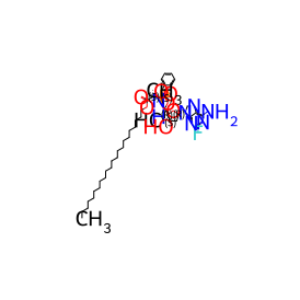 C#C[C@]1(CO[P@@](=O)(N[C@@H](C)C(=O)OCCCCCCCCCCCCCCCCCCCCCC)Oc2ccccc2)O[C@@H](n2cnc3c(N)nc(F)nc32)C[C@@H]1O